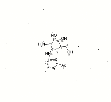 CC(=O)c1cccc(NC2OC(CO)C(O)C(N=O)C2N)c1